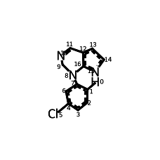 Cc1ccc(Cl)cc1N1CN=Cc2cc[nH]c21